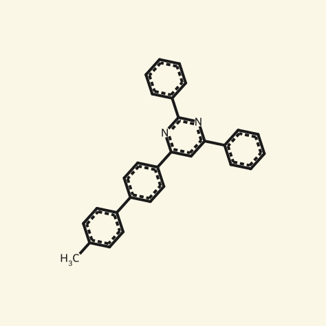 Cc1ccc(-c2ccc(-c3cc(-c4ccccc4)nc(-c4ccccc4)n3)cc2)cc1